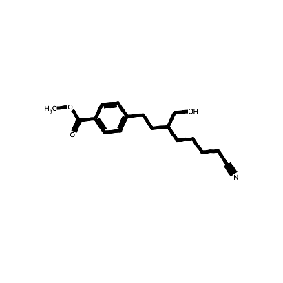 COC(=O)c1ccc(CCC(CO)CCCCC#N)cc1